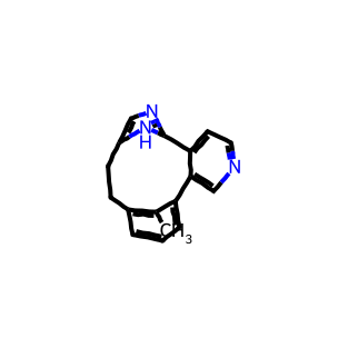 Cc1c2cccc1-c1cnccc1-c1ncc([nH]1)CC2